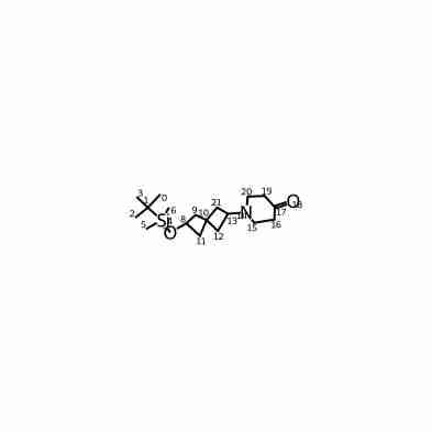 CC(C)(C)[Si](C)(C)OC1CC2(C1)CC(N1CCC(=O)CC1)C2